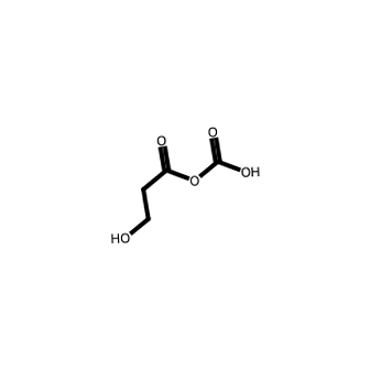 O=C(O)OC(=O)CCO